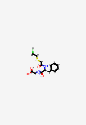 O=C(O)CNC(=O)[C@H](Cc1ccccc1)NC(=O)CSCCCl